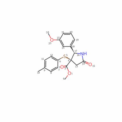 COC(=O)[C@@]1(Sc2ccc(C)cc2)CC(=O)N[C@@H]1c1cccc(OC)c1